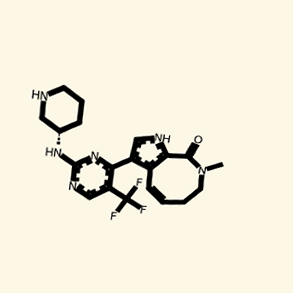 CN1CCC=Cc2c(-c3nc(N[C@H]4CCCNC4)ncc3C(F)(F)F)c[nH]c2C1=O